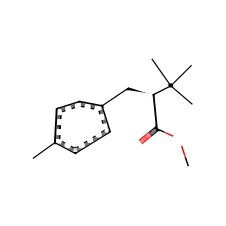 COC(=O)[C@@H](Cc1ccc(C)cc1)C(C)(C)C